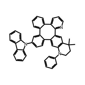 CC1(C)CCN(c2ccccc2)c2cc3c(cc21)-c1ncccc1-c1ccccc1-c1cc(-n2c4ccccc4c4ccccc42)ccc1-3